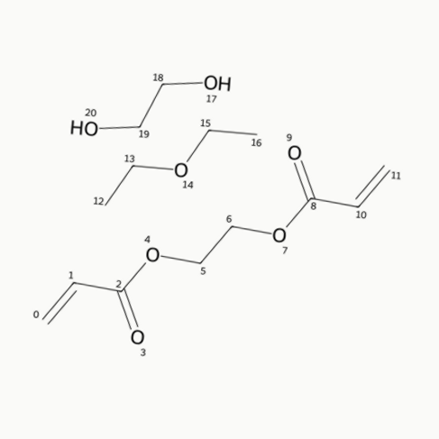 C=CC(=O)OCCOC(=O)C=C.CCOCC.OCCO